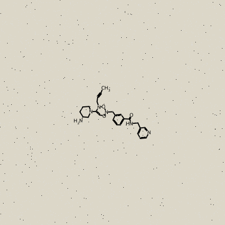 CC#CCn1on(Cc2cccc(C(=O)NCc3cccnc3)c2)occ1N1CCC[C@@H](N)C1